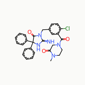 CN1CCN(C(=O)c2cc(CN3C(=N)NC(c4ccccc4)(c4ccccc4)C3=O)ccc2Cl)CC1=O